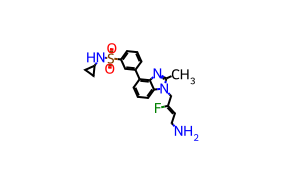 Cc1nc2c(-c3cccc(S(=O)(=O)NC4CC4)c3)cccc2n1CC(F)=CCN